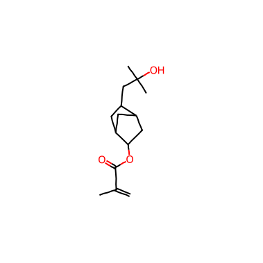 C=C(C)C(=O)OC1CC2CC1CC2CC(C)(C)O